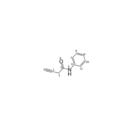 C#CCC(=O)Nc1ccccc1